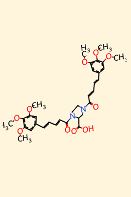 COc1cc(/C=C/C=C/C(=O)N2CCN(C(=O)/C=C/C=C/c3cc(OC)c(OC)c(OC)c3)C(C(=O)O)C2)cc(OC)c1OC